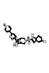 O=C(c1ccc(-c2cc[n+]([O-])cc2)nn1)N1C2CN(S(=O)(=O)c3cc4cc(Cl)ccc4[nH]3)CC1C(O)C2O